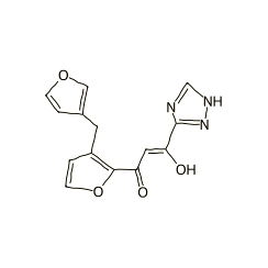 O=C(C=C(O)c1nc[nH]n1)c1occc1Cc1ccoc1